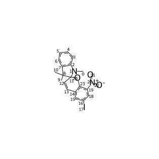 CN1c2ccccc2C(C)(C)C12C=Cc1cc(I)cc([N+](=O)[O-])c1O2